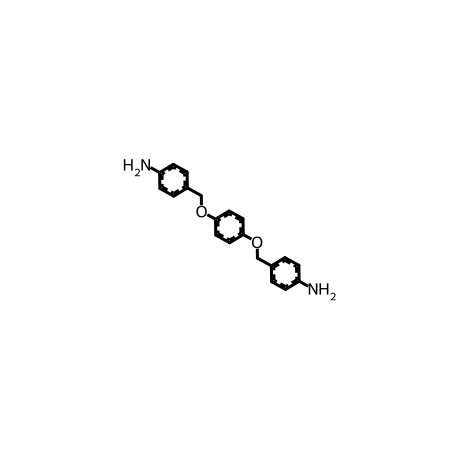 Nc1ccc(COc2ccc(OCc3ccc(N)cc3)cc2)cc1